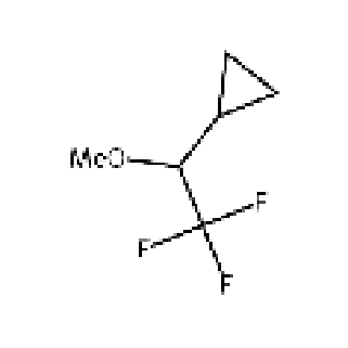 COC(C1CC1)C(F)(F)F